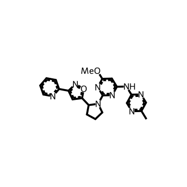 COc1cc(Nc2cnc(C)cn2)nc(N2CCCC2c2cc(-c3ccccn3)no2)n1